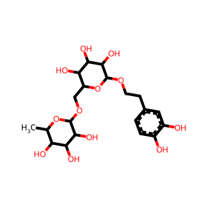 CC1OC(OCC2OC(OCCc3ccc(O)c(O)c3)C(O)C(O)C2O)C(O)C(O)C1O